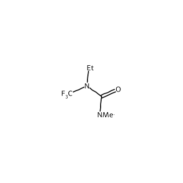 CCN(C(=O)[N]C)C(F)(F)F